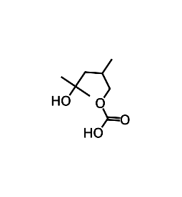 CC(COC(=O)O)CC(C)(C)O